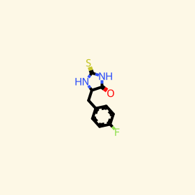 O=C1NC(=S)NC1Cc1ccc(F)cc1